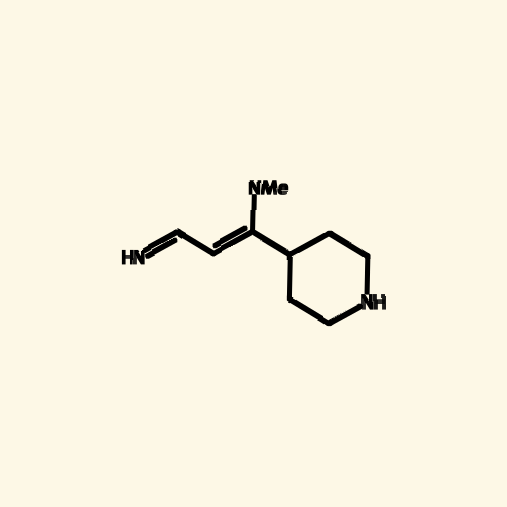 CN/C(=C\C=N)C1CCNCC1